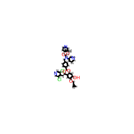 O=C(O[C@H](Cc1c(Cl)cncc1Cl)c1ccc(O)c(OCC2CC2)c1)c1ccc(CN(C(=O)O[C@H]2CN3CCC2CC3)c2cccnc2)cc1